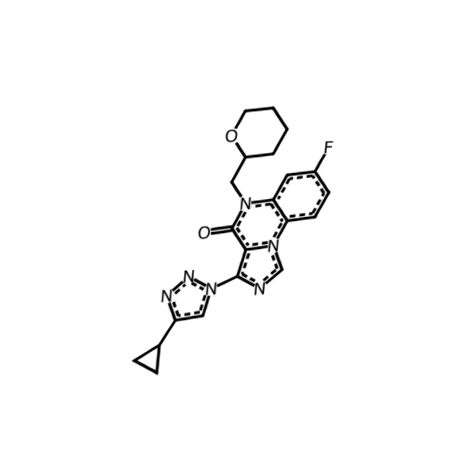 O=c1c2c(-n3cc(C4CC4)nn3)ncn2c2ccc(F)cc2n1CC1CCCCO1